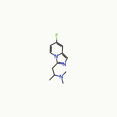 CC(Cc1ncc2cc(F)ccn12)N(C)C